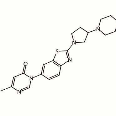 Cc1cc(=O)n(-c2ccc3nc(N4CCC(N5CCCCC5)C4)sc3c2)cn1